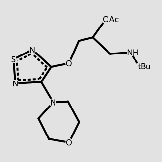 CC(=O)OC(CNC(C)(C)C)COc1nsnc1N1CCOCC1